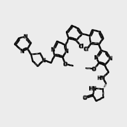 COc1nc(-c2cccc(-c3cccc(-c4cnc(CN5CCC(c6cnccn6)C5)c(OC)n4)c3Cl)c2Cl)cnc1CNC[C@@H]1CCC(=O)N1